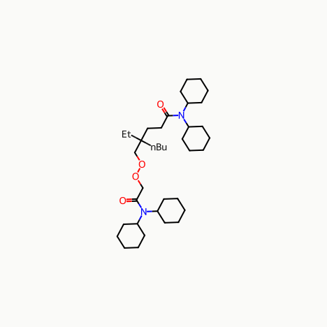 CCCCC(CC)(CCC(=O)N(C1CCCCC1)C1CCCCC1)COOCC(=O)N(C1CCCCC1)C1CCCCC1